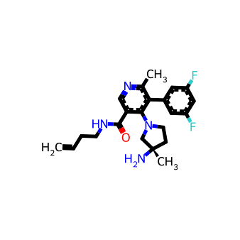 C=CCCNC(=O)c1cnc(C)c(-c2cc(F)cc(F)c2)c1N1CC[C@](C)(N)C1